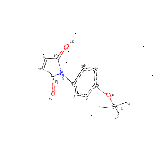 C[Si](C)(C)Oc1ccc(N2C(=O)C=CC2=O)cc1